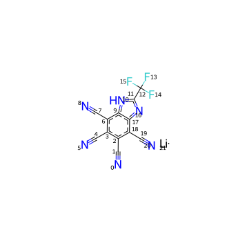 N#Cc1c(C#N)c(C#N)c2[nH]c(C(F)(F)F)nc2c1C#N.[Li]